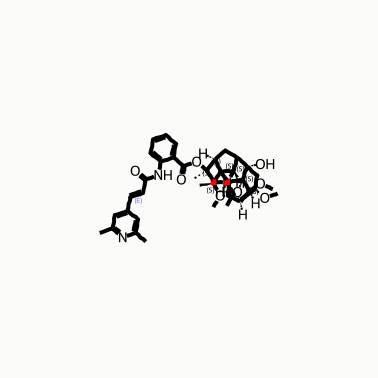 CCN1C[C@@](C)(OC(=O)c2ccccc2NC(=O)/C=C/c2cc(C)nc(C)c2)[C@H]2CC3[C@H]1C2([C@H](C)OC)[C@@H]1C[C@@H]2[C@@H](OC)C[C@@]3(O)[C@@]1(O)[C@H]2OC